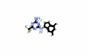 Cc1cc(C)c2c(c1)[C@H](Nc1nc(N)nc([C@@H](C)F)n1)CC2